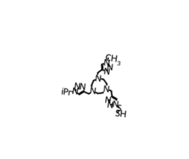 CC(C)n1cc(CN2CCN(Cc3cn(C)nn3)CCN(Cc3cn(SS)nn3)CC2)nn1